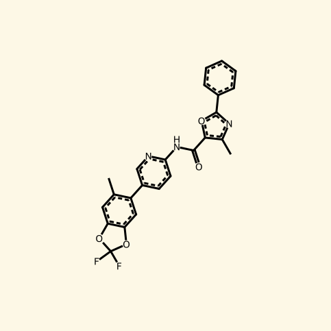 Cc1cc2c(cc1-c1ccc(NC(=O)c3oc(-c4ccccc4)nc3C)nc1)OC(F)(F)O2